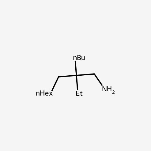 CCCCCCCC(CC)(CN)CCCC